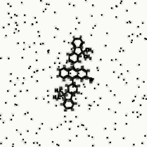 CC1(C)c2ccccc2-c2ccc(-c3c4ccccc4c(-c4ccc5c(c4)C(C)(C)c4ccccc4-5)c4cc(Br)ccc34)cc21